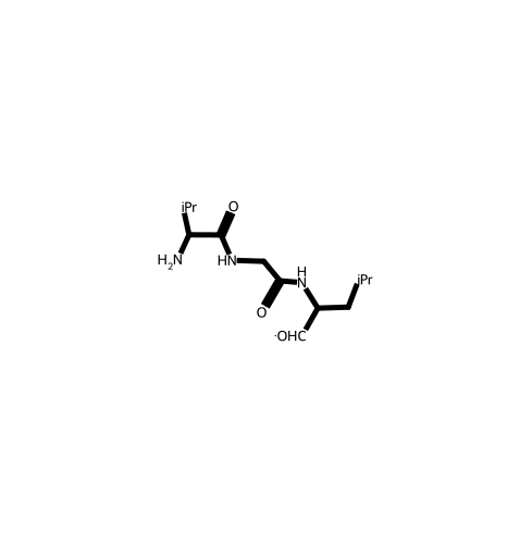 CC(C)CC([C]=O)NC(=O)CNC(=O)C(N)C(C)C